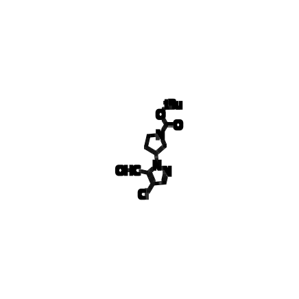 CC(C)(C)OC(=O)N1CCC(n2ncc(Cl)c2C=O)C1